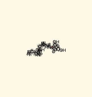 O=C1OC2(c3ccc(O)cc3Oc3cc(O)ccc32)c2ccc(NC(=S)NCc3cn(-c4cccc(NC(=O)N5c6nc(-c7cccc(C(F)(F)F)c7)ccc6N6CC[C@H]5C6)c4)nn3)cc21